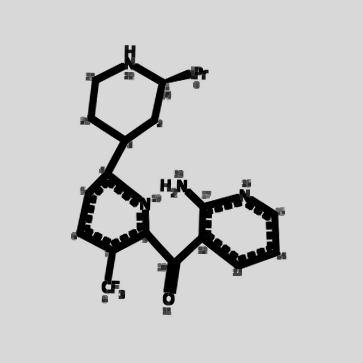 CC(C)[C@H]1CC(c2ccc(C(F)(F)F)c(C(=O)c3cccnc3N)n2)CCN1